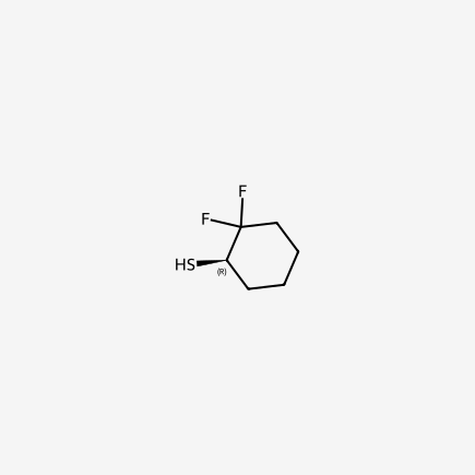 FC1(F)CCCC[C@H]1S